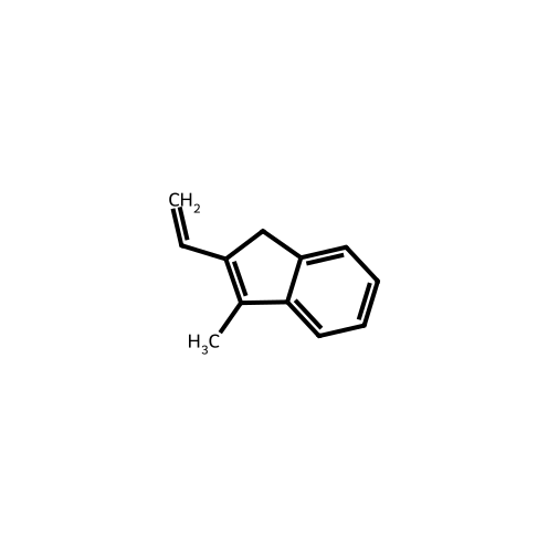 C=CC1=C(C)c2ccccc2C1